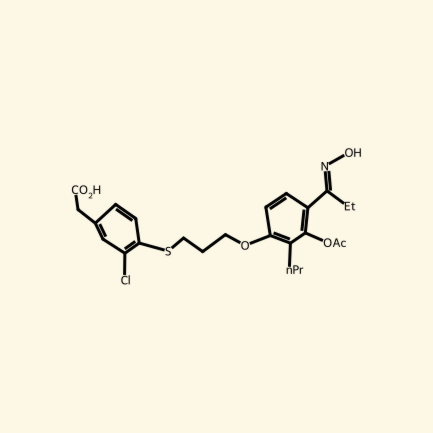 CCCc1c(OCCCSc2ccc(CC(=O)O)cc2Cl)ccc(C(CC)=NO)c1OC(C)=O